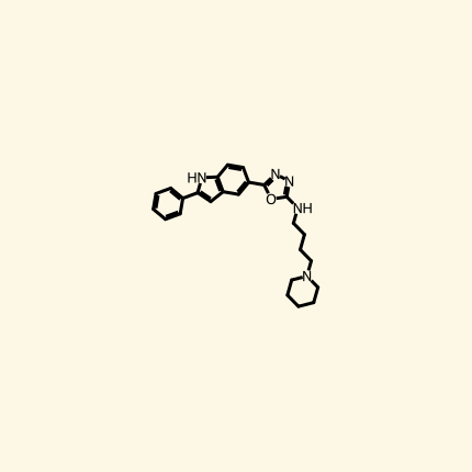 c1ccc(-c2cc3cc(-c4nnc(NCCCCN5CCCCC5)o4)ccc3[nH]2)cc1